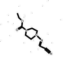 CCOC(=O)N1CCN(N=CC#N)CC1